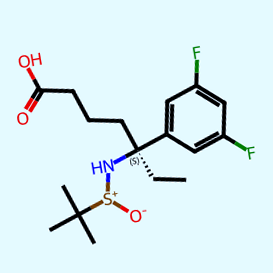 CC[C@@](CCCC(=O)O)(N[S+]([O-])C(C)(C)C)c1cc(F)cc(F)c1